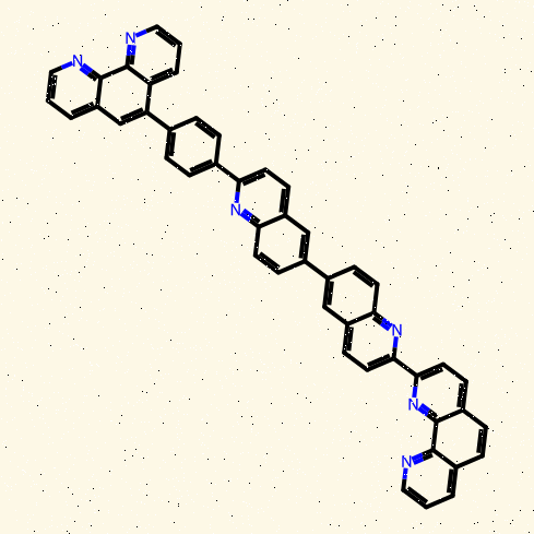 c1cnc2c(c1)ccc1ccc(-c3ccc4cc(-c5ccc6nc(-c7ccc(-c8cc9cccnc9c9ncccc89)cc7)ccc6c5)ccc4n3)nc12